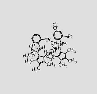 CC1=C(C)C(C)[C]([Hf+]([NH]c2ccccc2C(C)C)[SiH](C)C)=C1C.CC1=C(C)C(C)[C]([Hf+]([NH]c2ccccc2C(C)C)[SiH](C)C)=C1C.[Cl-].[Cl-]